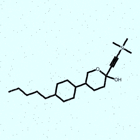 CCCCCC1CCC(C2CCC(O)(C#C[Si](C)(C)C)OC2)CC1